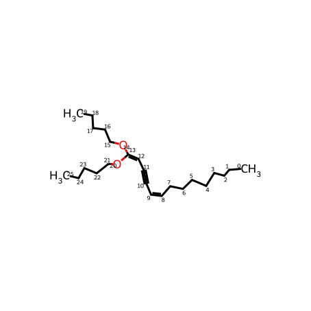 CCCCCCCC/C=C\C#CC=C(OCCCCC)OCCCCC